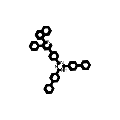 C1=CCC(c2cc(C3=CC=C(C4=NC(C5C=CC(C6CC=CCC6)CC5)NC(C5=CCC(C6=CCCC=C6)C=C5)=N4)CC3)cnc2-c2cccc3c2C=CCC3)C=C1